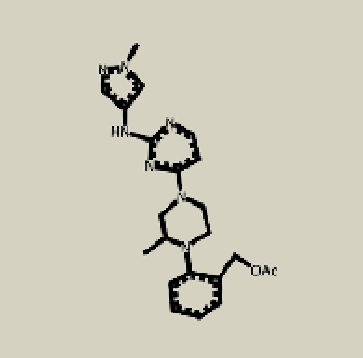 CC(=O)OCc1ccccc1N1CCN(c2ccnc(Nc3cnn(C)c3)n2)CC1C